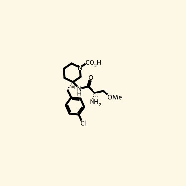 COC[C@H](N)C(=O)N[C@@]1(Cc2ccc(Cl)cc2)CCCN(C(=O)O)C1